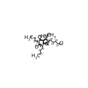 CCCCn1c(=O)n(CCC)c(=O)c2c(NC)n(CCCCCl)nc21